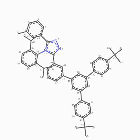 Cc1cccc(-c2nnc(-c3cccc(-c4cc(-c5ccc(C(C)(C)C)cc5)cc(-c5ccc(C(C)(C)C)cc5)c4)c3)n2-c2c(C(C)C)cccc2C(C)C)c1